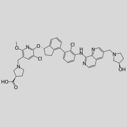 COc1nc(O[C@H]2CCc3c(-c4cccc(Nc5nccc6cc(CN7CC[C@@H](O)C7)cnc56)c4Cl)cccc32)c(Cl)cc1CN1CC[C@@H](C(=O)O)C1